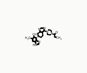 C=CC(=O)N1CCN(c2ncnc3c2CC[C@H](c2c(C)c(C)cc4[nH]cnc24)C3)CC1